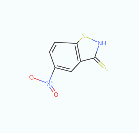 O=[N+]([O-])c1ccc2s[nH]c(=S)c2c1